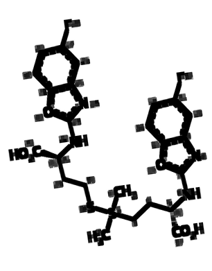 CS(C)(CC[C@H](Nc1nc2cc(F)ccc2o1)C(=O)O)SCC[C@H](Nc1nc2cc(F)ccc2o1)C(=O)O